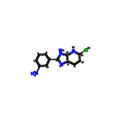 Nc1cccc(-c2nc3ccc(Cl)nc3[nH]2)c1